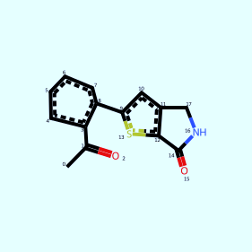 CC(=O)c1ccccc1-c1cc2c(s1)C(=O)NC2